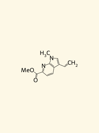 C=Cc1cn(C)c2nc(C(=O)OC)ccc12